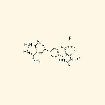 C=CN(C(=C)NCc1ccc(-c2cnc(N)c(C(=N)N)c2)cc1)c1ccc(F)c(F)n1